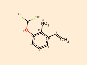 C=Cc1cccc(OC(F)F)c1[N+](=O)[O-]